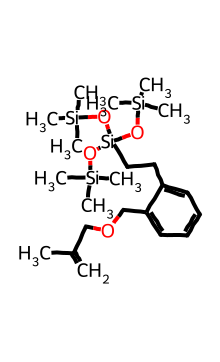 C=C(C)COCc1ccccc1CC[Si](O[Si](C)(C)C)(O[Si](C)(C)C)O[Si](C)(C)C